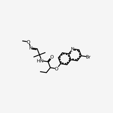 CCC(Oc1ccc2ncc(Br)cc2c1)C(=O)NC(C)(C)/C=N/OC